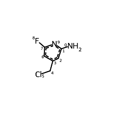 Nc1cc(CCl)cc(F)n1